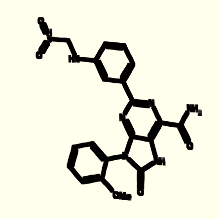 COc1ccccc1-n1c(=O)[nH]c2c(C(N)=O)nc(-c3cccc(NC[SH](=O)=O)c3)nc21